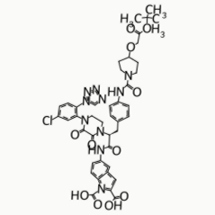 CC(C)(C)OC(=O)COC1CCN(C(=O)Nc2ccc(C[C@@H](C(=O)Nc3ccc4c(c3)cc(C(=O)O)n4C(=O)O)N3CCN(c4cc(Cl)ccc4-n4cnnn4)C(=O)C3=O)cc2)CC1